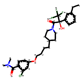 CCc1cccc([C@](O)(C(=O)N2CCC(CCCCOc3ccc(C(=O)N(C)C)c(Cl)c3)CC2)C(F)(F)F)c1